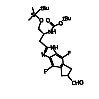 CC(C)(C)OC(=O)N[C@H](CO[Si](C)(C)C(C)(C)C)Cc1nc2c(F)c3c(c(F)c2[nH]1)CC(C=O)C3